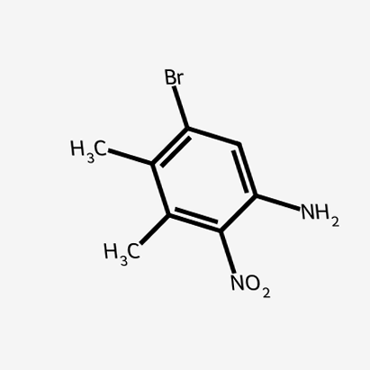 Cc1c(Br)cc(N)c([N+](=O)[O-])c1C